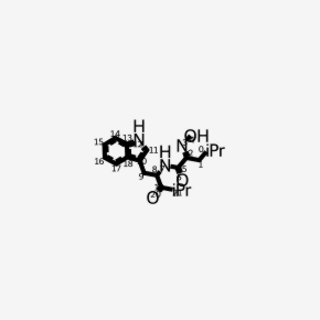 CC(C)CC(=NO)C(=O)NC(Cc1c[nH]c2ccccc12)C(=O)C(C)C